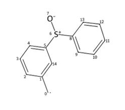 [CH2]c1cccc([S+]([O-])c2ccccc2)c1